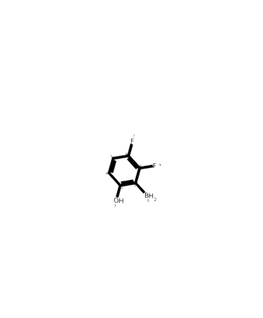 Bc1c(O)ccc(F)c1F